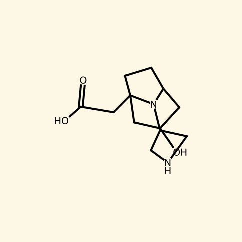 O=C(O)CC12CCC(CC(O)C1)N2C1CNC1